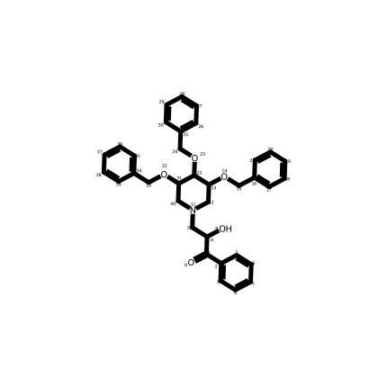 O=C(c1ccccc1)C(O)CN1CC(OCc2ccccc2)C(OCc2ccccc2)C(OCc2ccccc2)C1